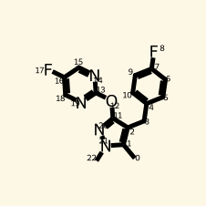 Cc1c(Cc2ccc(F)cc2)c(Oc2ncc(F)cn2)nn1C